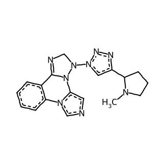 CN1CCCC1c1cn(N2CN=C3c4ccccc4-n4cncc4N32)nn1